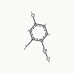 Fc1cc(Cl)cc[c]1[Zn][Cl]